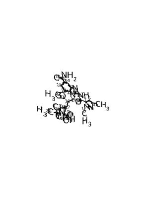 CCn1nc(C)cc1C(=O)Nc1nc2cc(C(N)=O)cc(OC)c2n1CCCCN(C(=O)O)C(C)(C)C